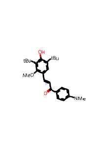 CNc1ccc(C(=O)/C=C/c2cc(C(C)(C)C)c(O)c(C(C)(C)C)c2OC)cc1